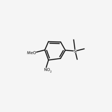 COc1ccc([Si](C)(C)C)cc1[N+](=O)[O-]